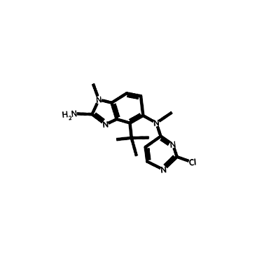 CN(c1ccnc(Cl)n1)c1ccc2c(nc(N)n2C)c1C(C)(C)C